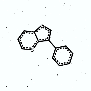 [c]1ccc(-c2ccc3cccsc2-3)cc1